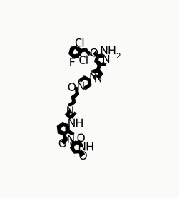 Nc1ncc(-c2cnn(C3CCN(C(=O)CCCCN4CC(Nc5cccc6c5CN([C@@H]5CCC(=O)NC5=O)C6=O)C4)CC3)c2)cc1OCCc1c(Cl)ccc(F)c1Cl